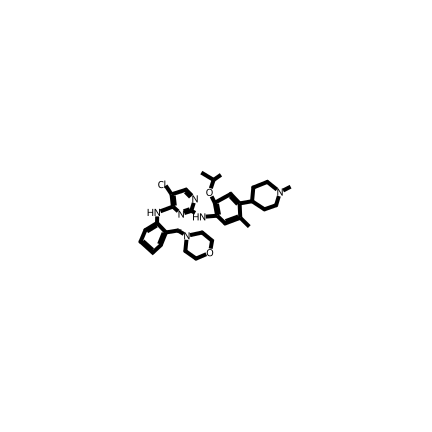 Cc1cc(Nc2ncc(Cl)c(Nc3ccccc3[C]N3CCOCC3)n2)c(OC(C)C)cc1C1CCN(C)CC1